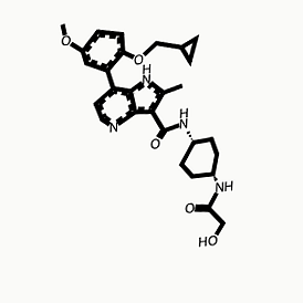 COc1ccc(OCC2CC2)c(-c2ccnc3c(C(=O)N[C@H]4CC[C@@H](NC(=O)CO)CC4)c(C)[nH]c23)c1